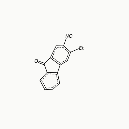 CCc1cc2c(cc1N=O)C(=O)c1ccccc1-2